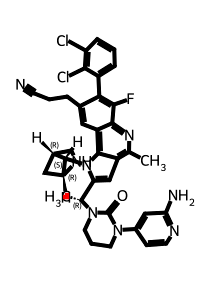 Cc1nc2c(F)c(-c3cccc(Cl)c3Cl)c(CCC#N)cc2c2c1cc([C@@H](C)N1CCCN(c3ccnc(N)c3)C1=O)n2[C@H]1[C@H]2CN[C@@H]1C2